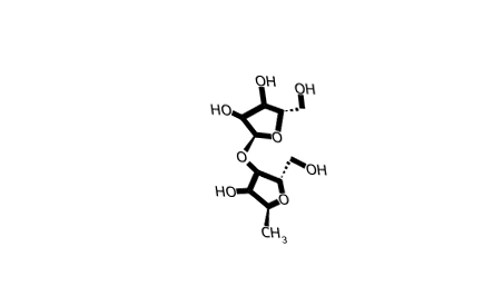 C[C@@H]1O[C@@H](CO)C(O[C@@H]2O[C@@H](CO)C(O)C2O)C1O